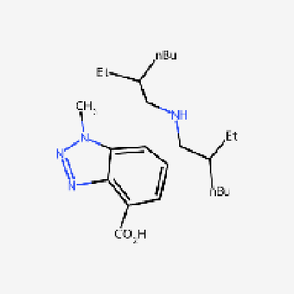 CCCCC(CC)CNCC(CC)CCCC.Cn1nnc2c(C(=O)O)cccc21